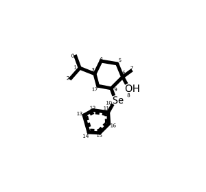 CC(C)C1CCC(C)(O)C([Se]c2ccccc2)C1